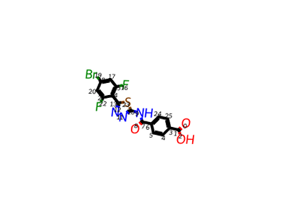 O=C(O)c1ccc(C(=O)Nc2nnc(-c3c(F)cc(Br)cc3F)s2)cc1